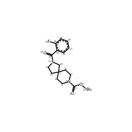 CC(C)(C)OC(=O)N1CCC2(CC1)CCN(C(=O)c1ccccc1F)C2